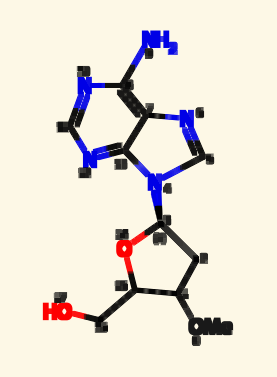 COC1C[C@H](n2cnc3c(N)ncnc32)OC1CO